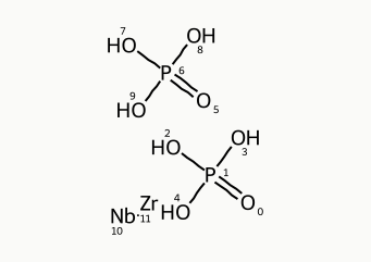 O=P(O)(O)O.O=P(O)(O)O.[Nb].[Zr]